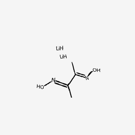 CC(=N\O)/C(C)=N/O.[LiH].[LiH]